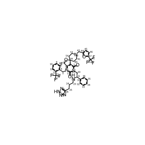 O=c1c2c(n(Cc3c(F)cccc3C(F)(F)F)c(=O)n1C[C@H](NCCCc1nn[nH]n1)c1ccccc1)COC21CCN(Cc2ccc(C(F)(F)F)o2)CC1